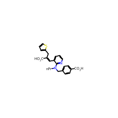 CCCN(Cc1ccc(C(=O)O)cc1)c1ncccc1/C=C(\Cc1cccs1)C(=O)O